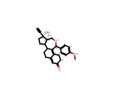 C#C[C@]1(O)CCC2C3CCC4=CC(=O)CCC4=C3C(c3ccc(OC)cc3)OC[C@@]21C